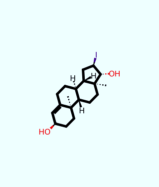 C[C@]12CC[C@H]3[C@@H](CCC4=C[C@H](O)CC[C@@]43C)[C@@H]1C[C@@H](I)[C@@H]2O